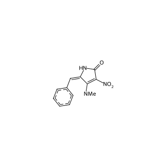 CNC1=C([N+](=O)[O-])C(=O)NC1=Cc1ccccc1